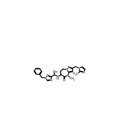 Cc1nccn1Cc1cc2n(n1)CCC(NC(O)c1ncn(Cc3ccccc3)n1)C(=O)N2C